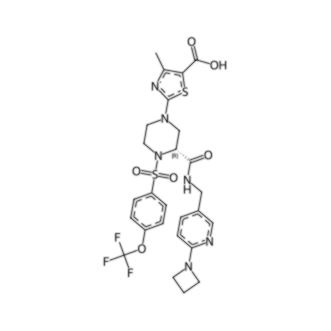 Cc1nc(N2CCN(S(=O)(=O)c3ccc(OC(F)(F)F)cc3)[C@@H](C(=O)NCc3ccc(N4CCC4)nc3)C2)sc1C(=O)O